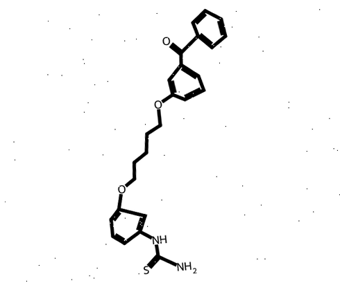 NC(=S)Nc1cccc(OCCCCCOc2cccc(C(=O)c3ccccc3)c2)c1